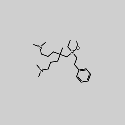 CC[Si](CCc1ccccc1)(CC(C)(CCCN(C)C)CCCN(C)C)OC